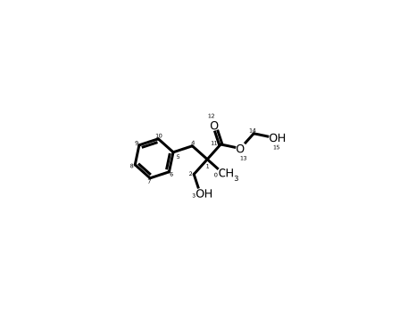 CC(CO)(Cc1ccccc1)C(=O)OCO